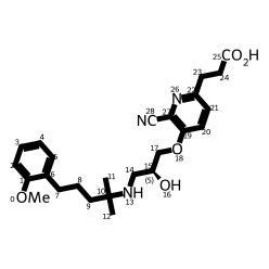 COc1ccccc1CCCC(C)(C)NC[C@H](O)COc1ccc(CCC(=O)O)nc1C#N